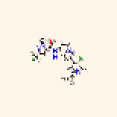 Cn1nc(C(F)(F)F)cc1C(=O)N[C@H]1CCn2nc(-c3cc(C4CC4)ncc3F)cc21